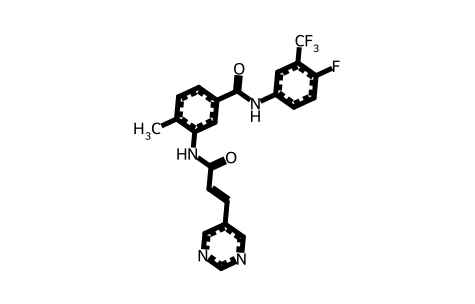 Cc1ccc(C(=O)Nc2ccc(F)c(C(F)(F)F)c2)cc1NC(=O)C=Cc1cncnc1